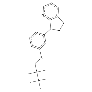 CC(C)(C)C(C)(C)CSc1cccc(C2CCc3cccnc32)c1